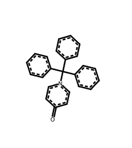 O=c1ccn(C(c2ccccc2)(c2ccccc2)c2ccccc2)cc1